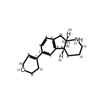 C1=C(c2ccc3c(c2)[C@H]2CCCN[C@H]2C3)CCOC1